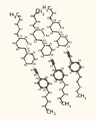 CCCCCc1ccc(C#C[C@H]2CC[C@H]([C@H]3CC[C@H](CCC)CC3)CC2)cc1.CCCCCc1ccc(C#C[C@H]2CC[C@H]([C@H]3CC[C@H](CCCC)CC3)CC2)cc1.CCCCCc1ccc(C#C[C@H]2CC[C@H]([C@H]3CC[C@H](CCCCC)CC3)CC2)cc1